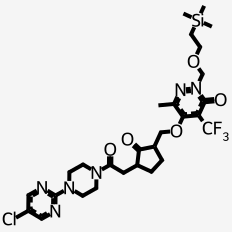 Cc1nn(COCC[Si](C)(C)C)c(=O)c(C(F)(F)F)c1OCC1CCC(CC(=O)N2CCN(c3ncc(Cl)cn3)CC2)C1=O